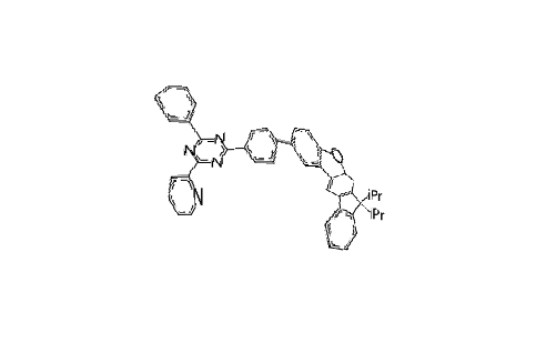 CC(C)C1(C(C)C)C2=C(C=C3c4cc(-c5ccc(-c6nc(-c7ccccc7)nc(-c7ccccn7)n6)cc5)ccc4OC3C2)c2ccccc21